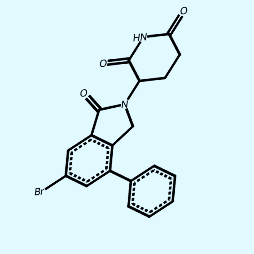 O=C1CCC(N2Cc3c(cc(Br)cc3-c3ccccc3)C2=O)C(=O)N1